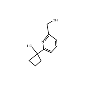 OCc1cccc(C2(O)CCC2)n1